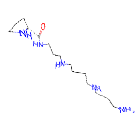 NCCCNCCCCNCCCNC(=O)[C@H]1CCCN1